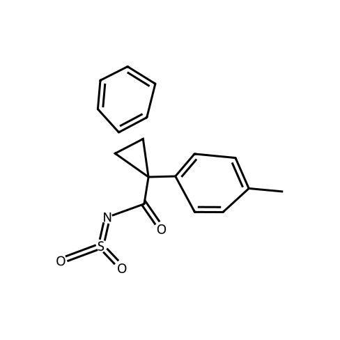 Cc1ccc(C2(C(=O)N=S(=O)=O)CC2)cc1.c1ccccc1